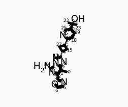 Cc1c(-c2ncco2)nc(N)n2nc([C@H]3C[C@H](c4ccc(C(C)(C)O)cn4)C3)nc12